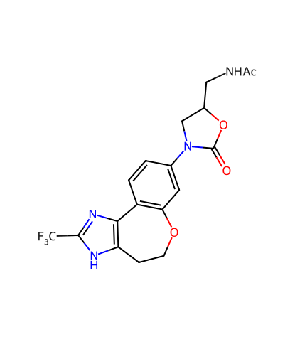 CC(=O)NCC1CN(c2ccc3c(c2)OCCc2[nH]c(C(F)(F)F)nc2-3)C(=O)O1